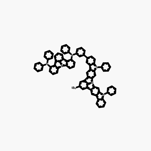 CC(C)(C)c1cc2c3cc4c5ccccc5n(-c5ccccc5)c4cc3n3c4cc5c(cc4c(c1)c23)c1cc(-c2cccc(N(c3ccccc3)c3cccc4c3c3cccc6c7c(N(c8ccccc8)c8ccccc8)cccc7n4c63)c2)ccc1n5-c1ccccc1